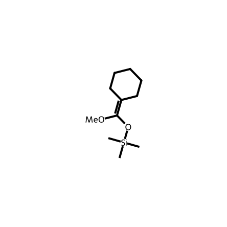 COC(O[Si](C)(C)C)=C1CCCCC1